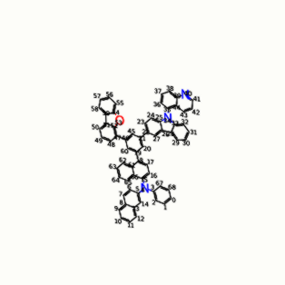 c1ccc(N(c2ccc3ccccc3c2)c2ccc(-c3cc(-c4ccc5c(c4)c4ccccc4n5-c4cccc5ncccc45)cc(-c4cccc5c4oc4ccccc45)c3)c3ccccc23)cc1